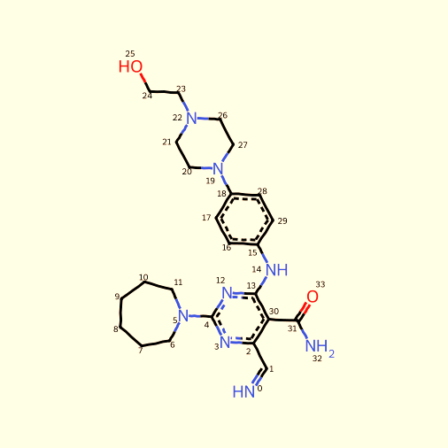 N=Cc1nc(N2CCCCCC2)nc(Nc2ccc(N3CCN(CCO)CC3)cc2)c1C(N)=O